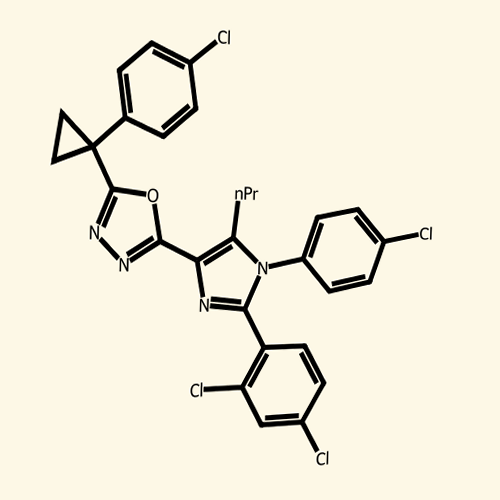 CCCc1c(-c2nnc(C3(c4ccc(Cl)cc4)CC3)o2)nc(-c2ccc(Cl)cc2Cl)n1-c1ccc(Cl)cc1